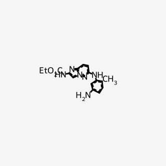 CCOC(=O)Nc1cn2nc(Nc3cc(N)ccc3C)ccc2n1